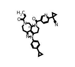 C=CC(=O)N1CCc2nn(-c3ccc(C4CC4)cc3)c3c2[C@@H](C1)N(C(=O)c1ccc(C2(C#N)CC2)nc1)CC3